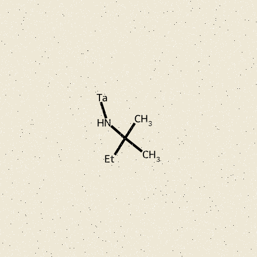 CCC(C)(C)[NH][Ta]